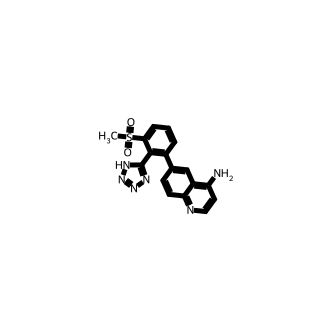 CS(=O)(=O)c1cccc(-c2ccc3nccc(N)c3c2)c1-c1nnn[nH]1